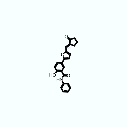 O=C1CCC/C1=C\c1ccc(-c2ccc(O)c(C(=O)Nc3ccccc3)c2)o1